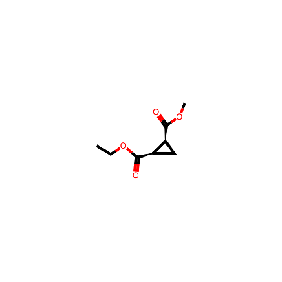 CCOC(=O)[C@@H]1C[C@@H]1C(=O)OC